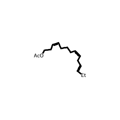 CC/C=C/C/C=C\CCC/C=C\CCOC(C)=O